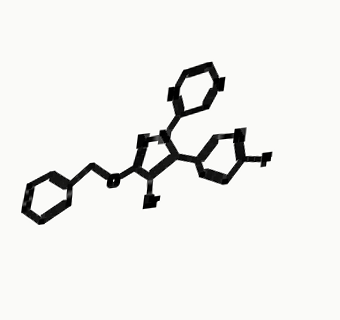 Fc1ccc(-c2c(Br)c(OCc3ccccc3)nn2-c2cnccn2)cn1